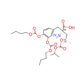 CCCCOC(=O)Oc1ccc(C[C@](N)(C[C@H](C)OC(=O)OC(C)C)C(=O)O)cc1OC(=O)OCCCC